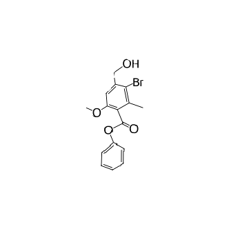 COc1cc(CO)c(Br)c(C)c1C(=O)Oc1ccccc1